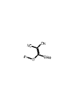 COC(OC(C)C)=C(C#N)C#N